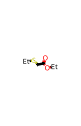 CCOC(=O)[CH]SCC